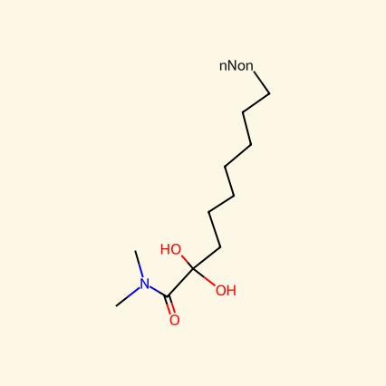 CCCCCCCCCCCCCCCCC(O)(O)C(=O)N(C)C